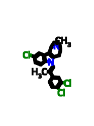 C/C(=C\n1c2c(c3cc(Cl)ccc31)C1CCC(C2)N1C)c1ccc(Cl)c(Cl)c1